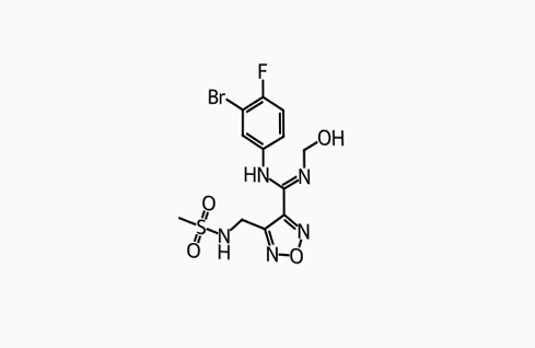 CS(=O)(=O)NCc1nonc1/C(=N/CO)Nc1ccc(F)c(Br)c1